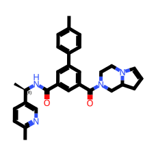 Cc1ccc(-c2cc(C(=O)N[C@H](C)c3ccc(C)nc3)cc(C(=O)N3CCN4C=CCC4C3)c2)cc1